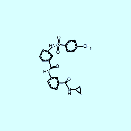 Cc1ccc(S(=O)(=O)Nc2cccc(C(=O)Nc3cccc(C(=O)NC4CC4)c3)c2)cc1